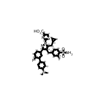 CN(C)c1ccc(-c2cc(-c3nn(-c4nc(C(=O)O)cs4)c(CC4CC4)c3Cc3ccc(S(N)(=O)=O)c(F)c3)ccc2F)cc1